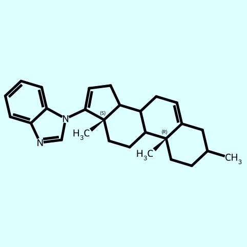 CC1CC[C@@]2(C)C(=CCC3C2CC[C@]2(C)C(n4cnc5ccccc54)=CCC32)C1